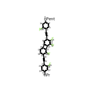 CCCCCc1ccc(C#Cc2cc3c(c(F)c2F)-c2c-3ccc(C#Cc3ccc(CCC)cc3F)c2F)c(F)c1